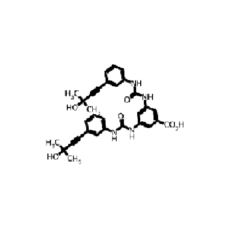 CC(C)(O)C#Cc1cccc(NC(=O)Nc2cc(NC(=O)Nc3cccc(C#CC(C)(C)O)c3)cc(C(=O)O)c2)c1